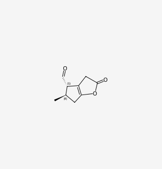 C[C@@H]1CC2=C(CC(=O)O2)[C@H]1C=O